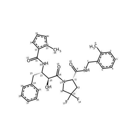 Cc1ccccc1CNC(=O)[C@@H]1CC(F)(F)CN1C(=O)[C@@H](O)[C@H](Cc1ccccc1)NC(=O)c1cccn1C